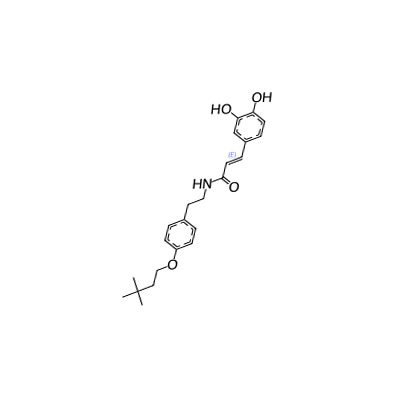 CC(C)(C)CCOc1ccc(CCNC(=O)/C=C/c2ccc(O)c(O)c2)cc1